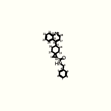 O=C(NCc1ccccc1)[C@H]1CC12CCC(c1ccnc3ccccc13)CC2